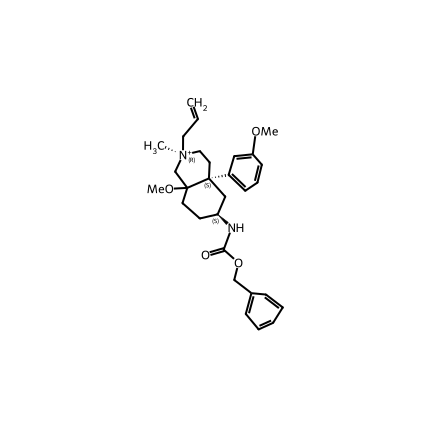 C=CC[N@@+]1(C)CC[C@@]2(c3cccc(OC)c3)C[C@@H](NC(=O)OCc3ccccc3)CCC2(OC)C1